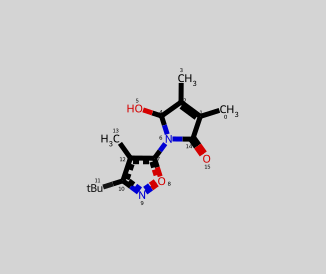 CC1=C(C)C(O)N(c2onc(C(C)(C)C)c2C)C1=O